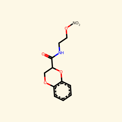 O=C(NCCO[N+](=O)[O-])C1COc2ccccc2O1